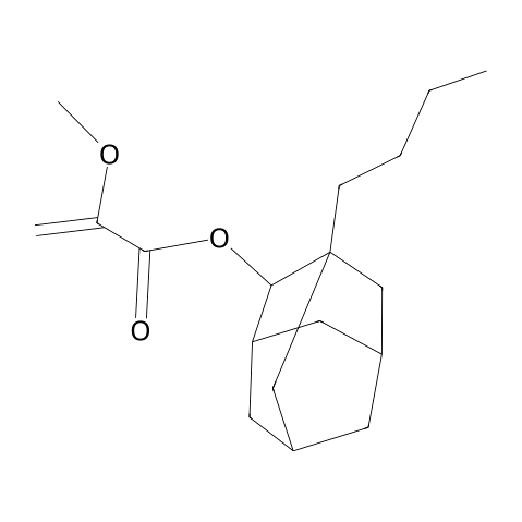 C=C(OC)C(=O)OC1C2CC3CC(C2)CC1(CCCC)C3